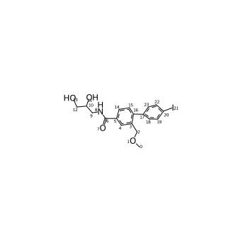 COCc1cc(C(=O)NCC(O)CO)ccc1-c1ccc(I)cc1